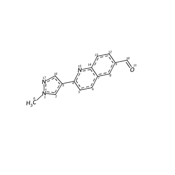 Cn1cc(-c2ccc3cc(C=O)ccc3n2)cn1